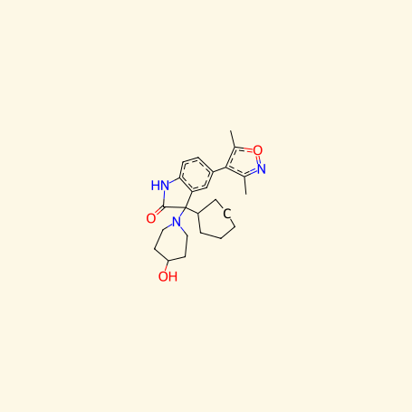 Cc1noc(C)c1-c1ccc2c(c1)C(C1CCCCC1)(N1CCC(O)CC1)C(=O)N2